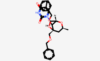 Cc1cn([C@@H]2O[C@@]3(COCc4ccccc4)C[C@H](C)O[C@@H]2[C@@H]3OCc2ccccc2)c(=O)[nH]c1=O